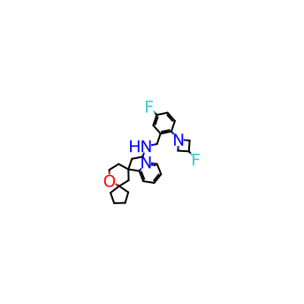 Fc1ccc(N2CC(F)C2)c(CNCCC2(c3ccccn3)CCOC3(CCCC3)C2)c1